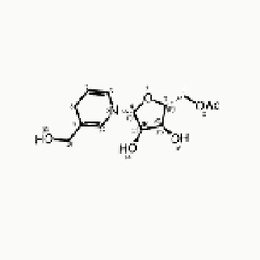 CC(=O)OC[C@H]1O[C@@H](N2C=CCC(CO)=C2)[C@H](O)[C@@H]1O